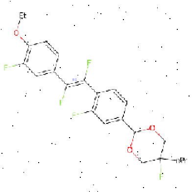 CCCC1(F)COC(c2ccc(/C(F)=C(\F)c3ccc(OCC)c(F)c3)c(F)c2)OC1